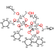 C#CCO[C@@H]1C(CO)O[C@H](O[C@H]2OC(CC)[C@@H](OCC#C)C(OCc3ccccc3)[C@H]2OCc2ccccc2)C(OCc2ccccc2)C1OCc1ccccc1